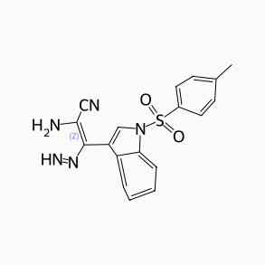 Cc1ccc(S(=O)(=O)n2cc(/C(N=N)=C(/N)C#N)c3ccccc32)cc1